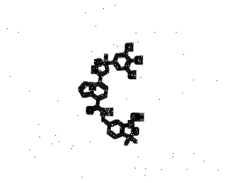 CC1(C)OB(O)c2cc(CNC(=O)c3ccc(C4=NO[C@](C)(c5cc(Cl)c(Cl)c(Cl)c5)C4)n4cccc34)ccc21